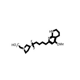 COc1cc(CCCCC(F)(F)[C@@H]2CCN(CC(=O)O)C2)nc2c1CCCN2